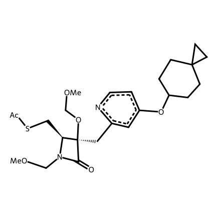 COCO[C@@]1(Cc2cc(OC3CCC4(CC3)CC4)ccn2)C(=O)N(COC)[C@H]1CSC(C)=O